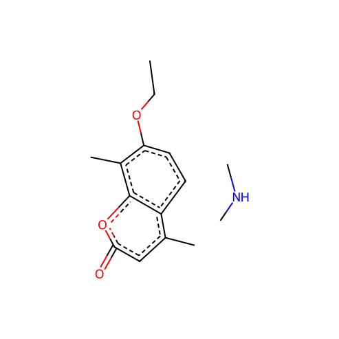 CCOc1ccc2c(C)cc(=O)oc2c1C.CNC